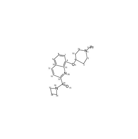 CC(C)N1CCC(Oc2cccc3ccc(C(=O)N4CCC4)nc23)CC1